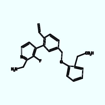 C=Cc1ccc(COc2ccccc2CC(=O)O)cc1-c1ccnc(CN)c1F